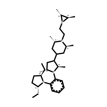 CC[C@@H]1CC[C@@H](CC)P1c1ccccc1P1[C@H](C)CC(C2C[C@H](C)P(CCP3[C@H](C)[C@H]3C)[C@@H](C)C2)[C@H]1C